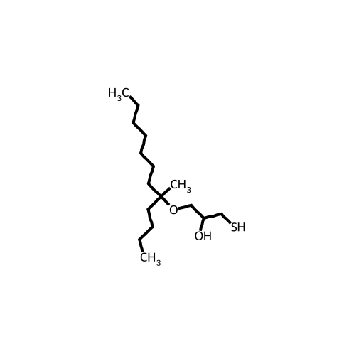 CCCCCCCC(C)(CCCC)OCC(O)CS